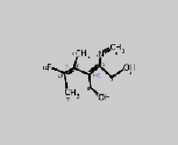 C=N/C(CO)=C(CO)\C(C)=C(/C)F